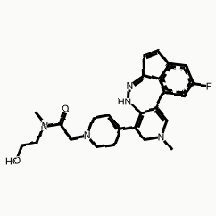 CN1C=C2C(=C(C3=CCN(CC(=O)N(C)CCO)CC3)C1)NN=C1C=Cc3cc(F)cc2c31